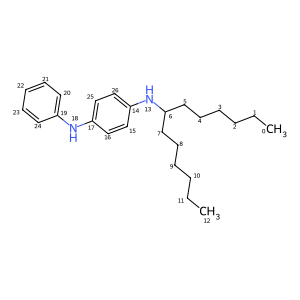 CCCCCCC(CCCCCC)Nc1ccc(Nc2ccccc2)cc1